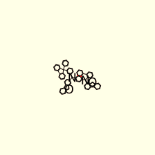 c1ccc(-c2ccccc2N(c2ccc(N(c3cccc(C4(c5ccccc5)c5ccccc5-c5ccccc54)c3)c3ccc4c(c3)oc3ccccc34)cc2)c2cccc3c2oc2ccccc23)cc1